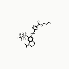 CCCCOC(=O)c1nnc(N=Nc2cc3c(cc2NS(=O)(=O)C(F)(F)F)N(C(C)C)CCC3)s1